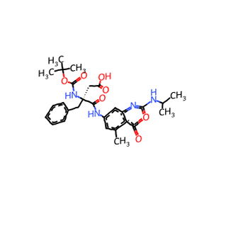 Cc1cc(NC(=O)[C@@](CC(=O)O)(Cc2ccccc2)NC(=O)OC(C)(C)C)cc2nc(NC(C)C)oc(=O)c12